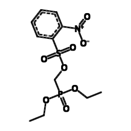 CCOP(=O)(COS(=O)(=O)c1ccccc1[N+](=O)[O-])OCC